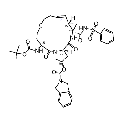 CC(C)(C)OC(=O)N[C@H]1CCCCC/C=C\[C@@H]2C[C@@]2(C(=O)NS(=O)(=O)c2ccccc2)NC(=O)[C@@H]2C[C@@H](OC(=O)N3Cc4ccccc4C3)CN2C1=O